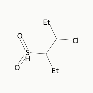 [CH2]CC(C(Cl)CC)[SH](=O)=O